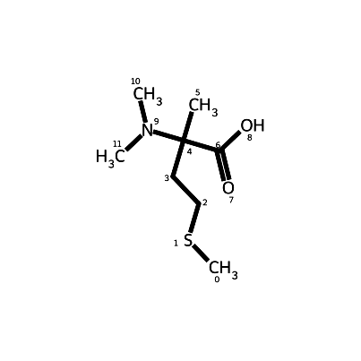 CSCCC(C)(C(=O)O)N(C)C